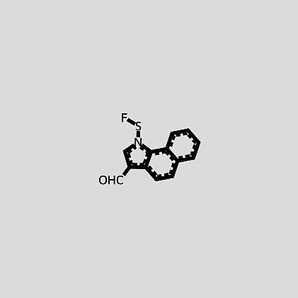 O=Cc1cn(SF)c2c1ccc1ccccc12